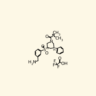 CN(C)C(=O)N1C[C@@H](c2ccccc2)C[C@H](S(=O)(=O)c2cccc(CN)c2)C1.O=C(O)C(F)(F)F